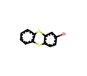 Brc1ccc2c(c1)Sc1ccccc1S2